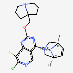 O=C(O)N1[C@@H]2C=C[C@H]1CN(c1nc(OCC34CCCN3CCC4)nc3c(F)c(Cl)ncc13)C2